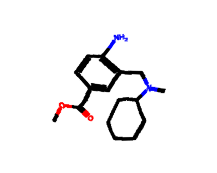 COC(=O)c1ccc(N)c(CN(C)C2CCCCC2)c1